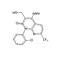 CNc1c(CO)c(=O)n(-c2ccccc2Cl)c2nc(C(F)(F)F)ccc12